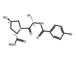 COC(=O)[C@@H]1C[C@@H](C#N)CN1C(=O)[C@@H](NC(=O)c1ccc(Br)cc1)C(C)C